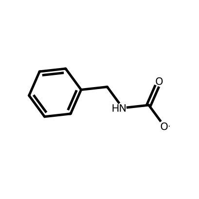 [O]C(=O)NCc1ccccc1